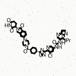 CC(C)c1c(NC(=O)Nc2cnc(-c3noc([C@H]4CC[C@H](C(=O)N5CCN(c6ccc7c(c6)CN(C6CCC(=O)NC6=O)C7=O)CC5)CC4)n3)c(Cl)c2)cnc2ccnn12